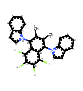 N#Cc1c(C#N)c(-n2ccc3ccccc32)c2c(F)c(F)c(F)c(F)c2c1-n1ccc2ccccc21